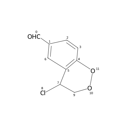 O=Cc1ccc2c(c1)C(Cl)COO2